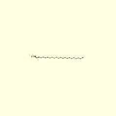 C.CCCCCCCCCCCCCCCCCCCCCCCC(=O)O.N